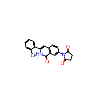 O=C1CCC(=O)N1c1ccc2cc(-c3ccccc3C(F)(F)F)[nH]c(=O)c2c1